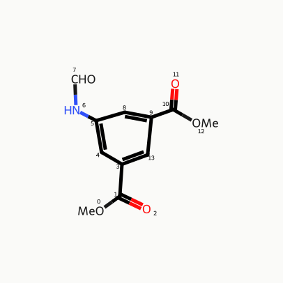 COC(=O)c1cc(NC=O)cc(C(=O)OC)c1